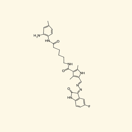 Cc1ccc(NC(=O)CCCCCNC(=O)c2c(C)[nH]c(C=NN=C3C(=O)Nc4ccc(F)cc43)c2C)c(N)c1